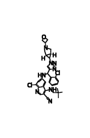 CC(C)(C)CNc1c(C#N)cnc2c(Cl)cc(NC(c3cn(C4[C@H]5CN(C6COC6)C[C@@H]45)nn3)c3ccccc3Cl)cc12